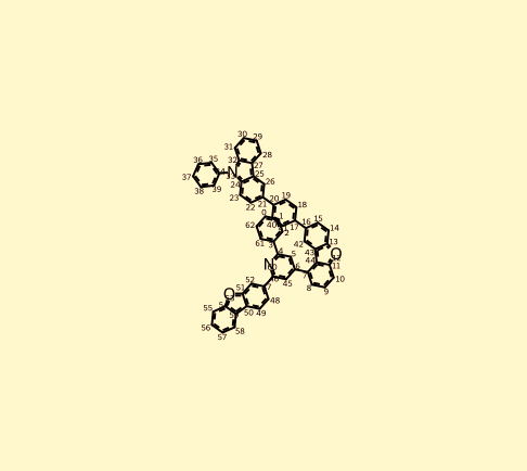 c1ccc(-c2cc(-c3cccc4oc5ccc(-c6ccc(-c7ccc8c(c7)c7ccccc7n8-c7ccccc7)cc6)cc5c34)cc(-c3ccc4c(c3)oc3ccccc34)n2)cc1